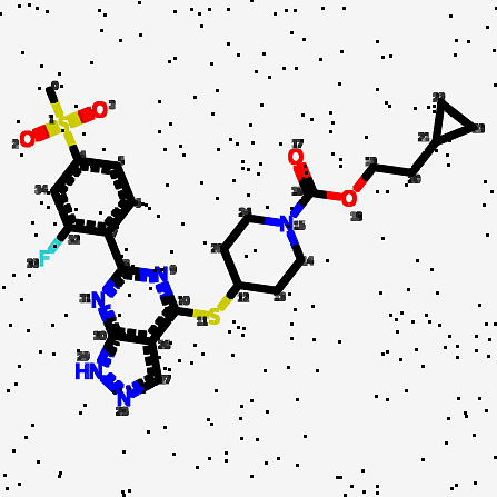 CS(=O)(=O)c1ccc(-c2nc(SC3CCN(C(=O)OCCC4CC4)CC3)c3cn[nH]c3n2)c(F)c1